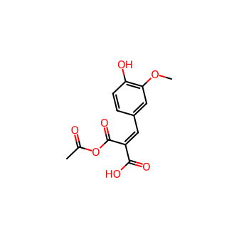 COc1cc(C=C(C(=O)O)C(=O)OC(C)=O)ccc1O